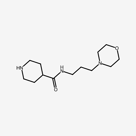 O=C(NCCCN1CCOCC1)C1CCNCC1